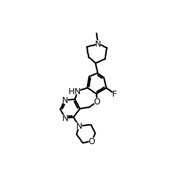 CN1CCC(c2cc(F)c3c(c2)Nc2ncnc(N4CCOCC4)c2CO3)CC1